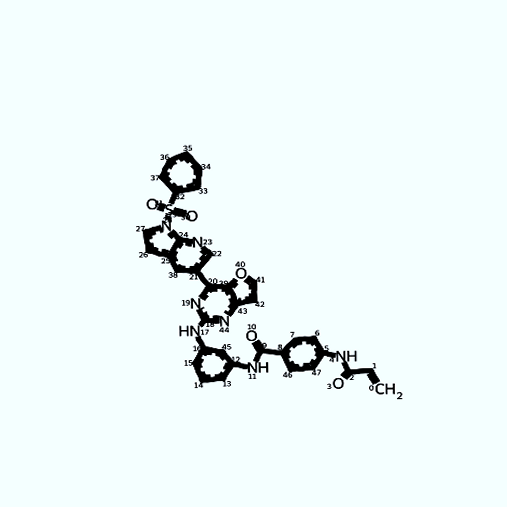 C=CC(=O)Nc1ccc(C(=O)Nc2cccc(Nc3nc(-c4cnc5c(ccn5S(=O)(=O)c5ccccc5)c4)c4occc4n3)c2)cc1